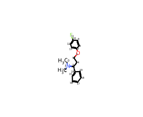 CN(C)C(CCOc1ccc(F)cc1)c1c[c]ccc1